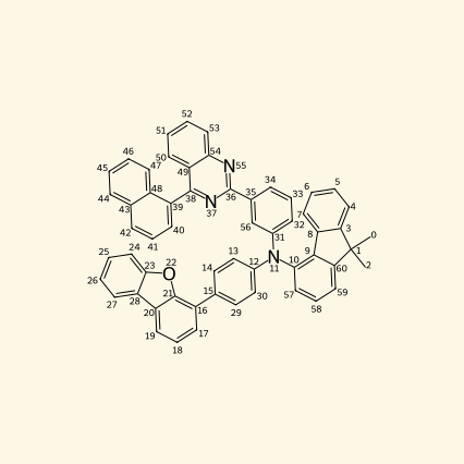 CC1(C)c2ccccc2-c2c(N(c3ccc(-c4cccc5c4oc4ccccc45)cc3)c3cccc(-c4nc(-c5cccc6ccccc56)c5ccccc5n4)c3)cccc21